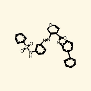 O=S(=O)(Nc1cccc(N=NC2=C(c3nc4cc(-c5ccccc5)ccc4o3)C=COC2)c1)c1ccccc1